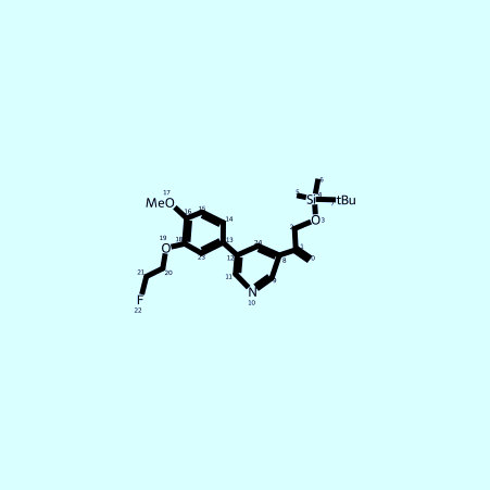 C=C(CO[Si](C)(C)C(C)(C)C)c1cncc(-c2ccc(OC)c(OCCF)c2)c1